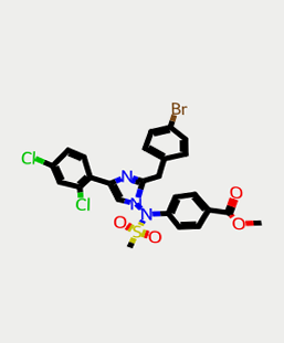 COC(=O)c1ccc(N(n2cc(-c3ccc(Cl)cc3Cl)nc2Cc2ccc(Br)cc2)S(C)(=O)=O)cc1